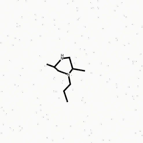 CCCN1CC(C)NCC1C